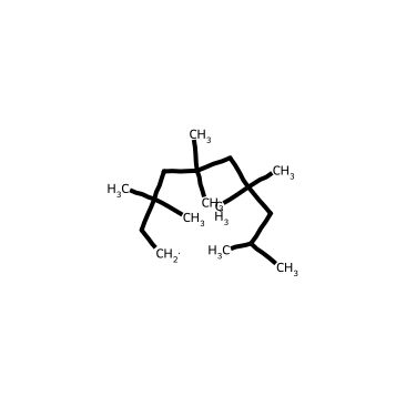 [CH2]CC(C)(C)CC(C)(C)CC(C)(C)CC(C)C